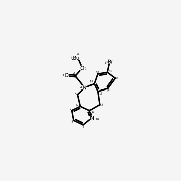 CC(C)(C)OC(=O)N1Cc2cccnc2Cc2ccc(Br)cc21